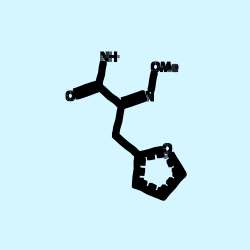 CON=C(Cc1ccco1)C([NH])=O